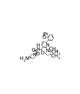 CC(C)Oc1ccccc1-c1ccc(C(=O)NS(=O)(=O)N2CC[C@H](N)C2)c(N2CCC(C)C2(C)C)n1